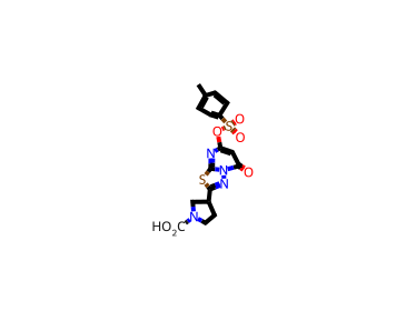 Cc1ccc(S(=O)(=O)Oc2cc(=O)n3nc(C4CCN(C(=O)O)C4)sc3n2)cc1